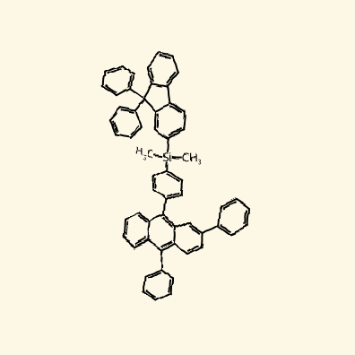 C[Si](C)(c1ccc(-c2c3ccccc3c(-c3ccccc3)c3ccc(-c4ccccc4)cc23)cc1)c1ccc2c(c1)C(c1ccccc1)(c1ccccc1)c1ccccc1-2